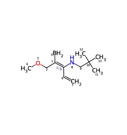 B/C(COC)=C(/C=C)NCC(C)(C)C